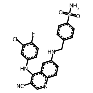 N#Cc1cnc2ccc(NCc3ccc(S(N)(=O)=O)cc3)cc2c1Nc1ccc(F)c(Cl)c1